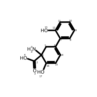 NC1(C(=O)O)CC(c2ccccc2O)=CC=C1O